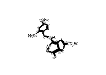 CCOC(=O)c1cc2c(NCc3ccc(OC)cc3OC)nnc(F)c2s1